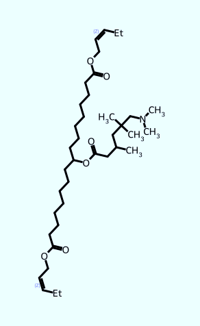 CC/C=C\COC(=O)CCCCCCCC(CCCCCCCC(=O)OC/C=C\CC)OC(=O)CC(C)CC(C)(C)CN(C)C